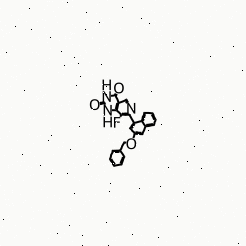 O=c1[nH]c(=O)c2cnc(-c3cc(OCc4ccccc4)cc4ccccc34)c(F)c2[nH]1